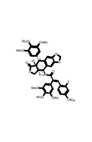 COc1ccc(/C=C(/C(=O)N[C@@H]2c3cc4c(cc3[C@@H](c3cc(OC)c(OC)c(OC)c3)[C@H]3C(=O)OC[C@@H]32)OCO4)c2cc(OC)c(OC)c(OC)c2)c(F)c1